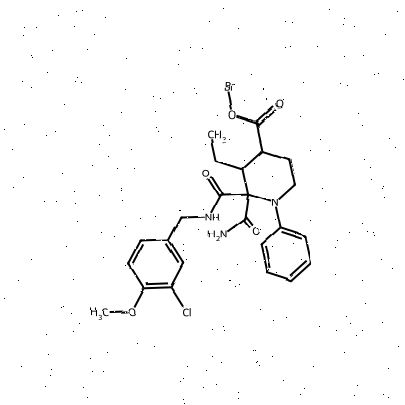 CCC1C(C(=O)OBr)CCN(c2ccccc2)C1(C(N)=O)C(=O)NCc1ccc(OC)c(Cl)c1